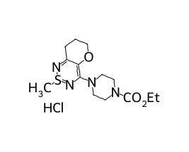 CCOC(=O)N1CCN(C2=C3OCCCC3=NS(C)=N2)CC1.Cl